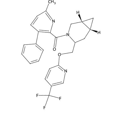 Cc1ccc(-c2ccccc2)c(C(=O)N2C[C@@H]3C[C@@H]3CC2COc2ccc(C(F)(F)F)cn2)n1